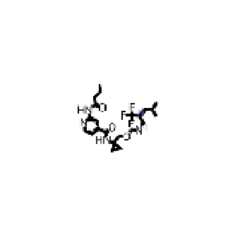 CCCC(=O)Nc1cc(C(=O)NC2(COC/N=C\C(=C/C(C)C)C(F)(F)F)CC2)ccn1